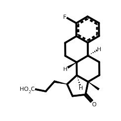 C[C@]12CC[C@@H]3c4cccc(F)c4CC[C@H]3[C@@H]1[C@H](CCC(=O)O)CC2=O